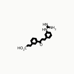 N=C(N)Nc1cccc(C=CC(=O)c2cccc(C=CC(=O)O)c2)c1